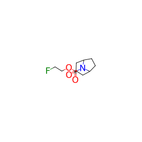 O=C1CC2CCC(C1)N2C(=O)OCCF